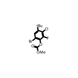 COC(=O)Oc1c(Br)cc(C(C)(C)C)c(Cl)c1F